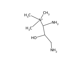 C[N+](C)(C)C(N)C(O)CN